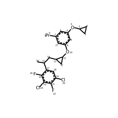 CC(C)c1cc(OC2CC2)cc(OC2CC2CC(C)c2cc(Cl)c(F)c(Cl)c2F)c1